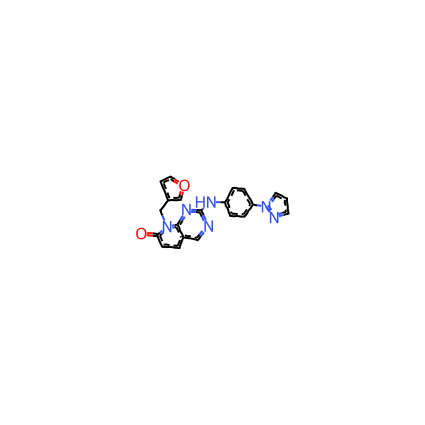 O=c1ccc2cnc(Nc3ccc(-n4cccn4)cc3)nc2n1Cc1ccoc1